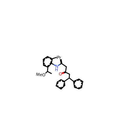 C=C(CC(=O)CC(c1ccccc1)c1ccccc1)Nc1c(C(C)C)cccc1C(C)OC